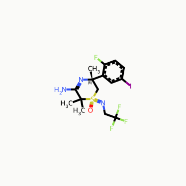 CC1(C)C(N)=N[C@](C)(c2cc(I)ccc2F)CS1(=O)=NCC(F)(F)F